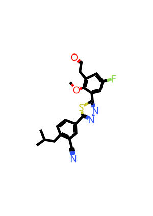 COc1c(CC=O)cc(F)cc1-c1nnc(-c2ccc(CC(C)C)c(C#N)c2)s1